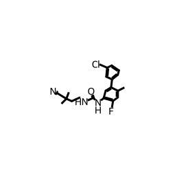 Cc1cc(F)c(NC(=O)NCCC(C)(C)C#N)cc1-c1cccc(Cl)c1